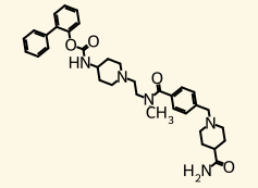 CN(CCN1CCC(NC(=O)Oc2ccccc2-c2ccccc2)CC1)C(=O)c1ccc(CN2CCC(C(N)=O)CC2)cc1